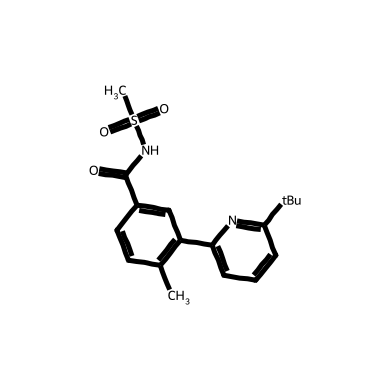 Cc1ccc(C(=O)NS(C)(=O)=O)cc1-c1cccc(C(C)(C)C)n1